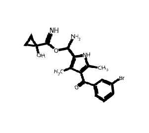 Cc1[nH]c(C(N)OC(=N)C2(O)CC2)c(C)c1C(=O)c1cccc(Br)c1